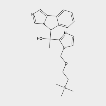 CC(O)(c1nccn1COCC[Si](C)(C)C)C1c2ccccc2-c2cncn21